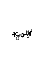 CC(C)(C)OC(=O)N1CC(c2nc(I)cs2)C1